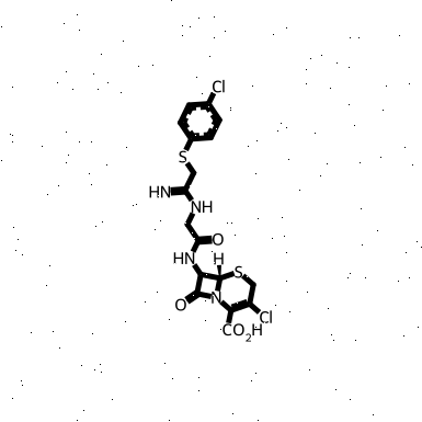 N=C(CSc1ccc(Cl)cc1)NCC(=O)NC1C(=O)N2C(C(=O)O)=C(Cl)CS[C@@H]12